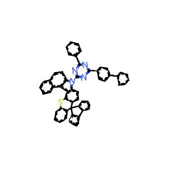 c1ccc(-c2ccc(-c3nc(-c4ccccc4)nc(-n4c5ccc6c(c5c5c7ccccc7ccc54)Sc4ccccc4C64c5ccccc5-c5ccccc54)n3)cc2)cc1